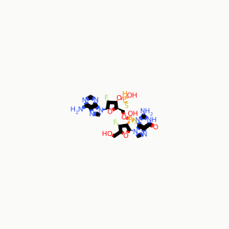 Nc1nc2c(ncn2[C@@H]2OC(CO)[C@H](F)[C@H]2P(O)(=S)OC[C@H]2O[C@@H](n3cnc4c(N)ncnc43)[C@@H](F)[C@@H]2O[PH](O)=S)c(=O)[nH]1